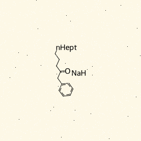 CCCCCCCCCCC(=O)Cc1ccccc1.[NaH]